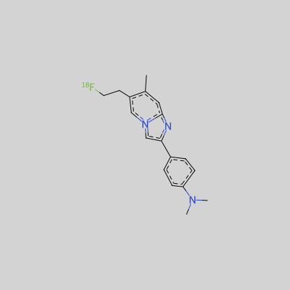 Cc1cc2nc(-c3ccc(N(C)C)cc3)cn2cc1CC[18F]